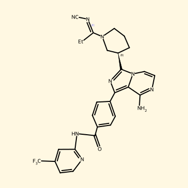 CC/C(=N\C#N)N1CCC[C@@H](c2nc(-c3ccc(C(=O)Nc4cc(C(F)(F)F)ccn4)cc3)c3c(N)nccn23)C1